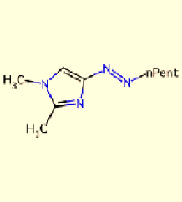 CCCCCN=Nc1cn(C)c(C)n1